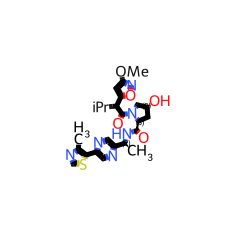 COc1cc(C(C(=O)N2C[C@H](O)C[C@H]2C(=O)N[C@H](C)c2cnc(-c3scnc3C)cn2)C(C)C)on1